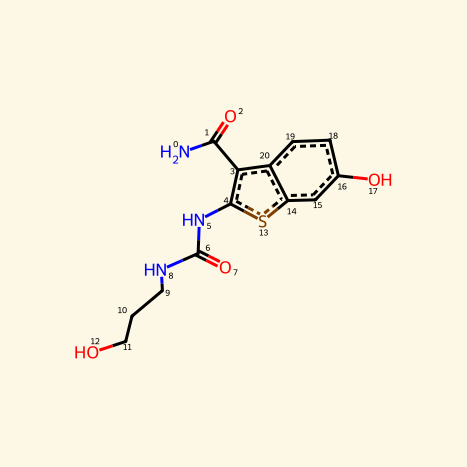 NC(=O)c1c(NC(=O)NCCCO)sc2cc(O)ccc12